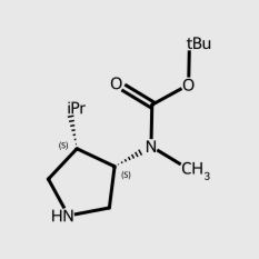 CC(C)[C@H]1CNC[C@H]1N(C)C(=O)OC(C)(C)C